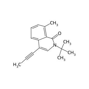 CC#Cc1cn(C(C)(C)C)c(=O)c2c(C)cccc12